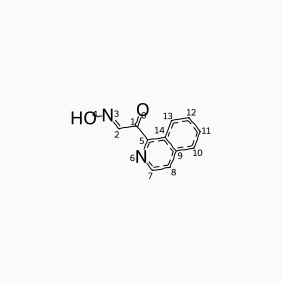 O=C(C=NO)c1nccc2ccccc12